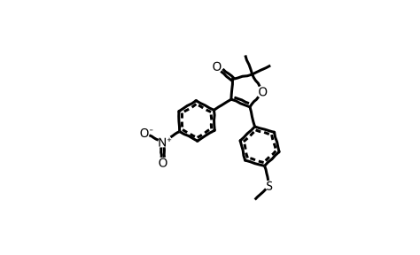 CSc1ccc(C2=C(c3ccc([N+](=O)[O-])cc3)C(=O)C(C)(C)O2)cc1